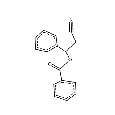 N#CCC(OC(=O)c1ccccc1)c1ccccc1